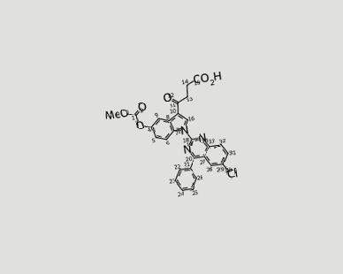 COC(=O)Oc1ccc2c(c1)c(C(=O)CCC(=O)O)cn2-c1nc(-c2ccccc2)c2cc(Cl)ccc2n1